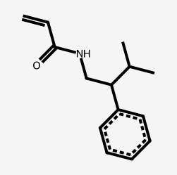 C=CC(=O)NCC(c1ccccc1)C(C)C